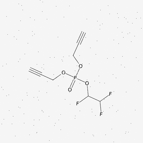 C#CCOP(=O)(OCC#C)OC(F)C(F)F